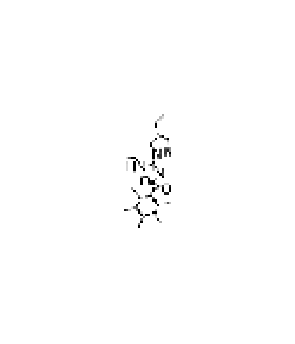 CCN/C(=N\S(=O)(=O)c1c(C)c(C)c(C)c(C)c1C)N1CC(CC)C=N1